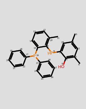 Cc1cc(C)c(O)c(Pc2c(C)cccc2P(c2ccccc2)c2ccccc2)c1